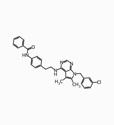 Cc1c(C)n(Cc2cccc(Cl)c2)c2ncnc(NCCc3ccc(NC(=O)c4ccccc4)cc3)c12